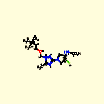 Cc1nc(N2C[C@H](NC(=O)O)[C@@H](F)C2)nn1COCC[Si](C)(C)C